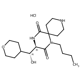 CCCCN1C(=O)[C@@H]([C@H](O)C2CCOCC2)NC(=O)C12CCNCC2.Cl